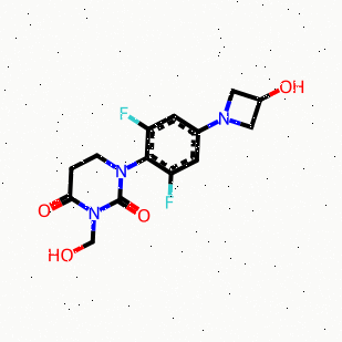 O=C1CCN(c2c(F)cc(N3CC(O)C3)cc2F)C(=O)N1CO